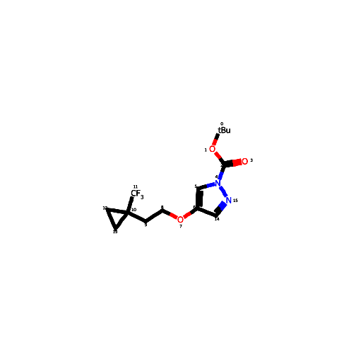 CC(C)(C)OC(=O)n1cc(OCCC2(C(F)(F)F)CC2)cn1